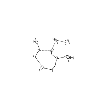 CNC1C(O)COCC1O